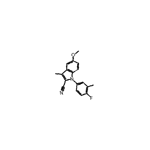 COc1ccc2c(c1)c(C)c(C#N)n2-c1ccc(F)c(C)c1